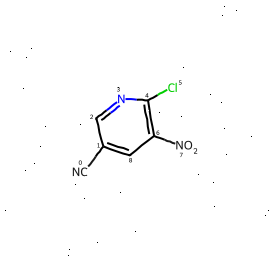 N#Cc1cnc(Cl)c([N+](=O)[O-])c1